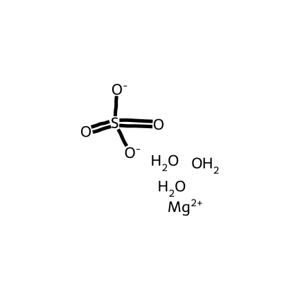 O.O.O.O=S(=O)([O-])[O-].[Mg+2]